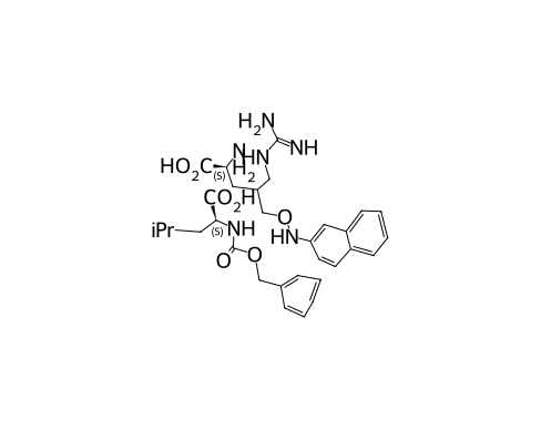 CC(C)C[C@H](NC(=O)OCc1ccccc1)C(=O)O.N=C(N)NCC(CONc1ccc2ccccc2c1)C[C@H](N)C(=O)O